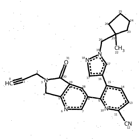 C#CCN1Cc2ncc(-c3nc(C#N)ccc3-c3cnn(CC4(C)CCCC4)c3)cc2C1=O